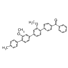 COc1cc(-c2ccc(-c3ccc(C(=O)c4ccccc4)cc3)c(OC)c2)ccc1-c1ccc(C)cc1